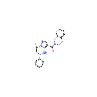 CC1(C)CC(c2ccccc2)Nc2c(C(=O)N3CCc4ccccc4C3)cnn21